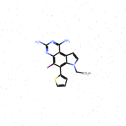 Nc1nc(N)c2c(n1)c(I)c(-c1cccs1)c1c2ccn1CC(=O)O